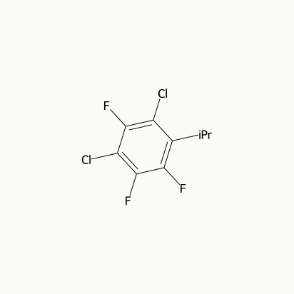 CC(C)c1c(F)c(F)c(Cl)c(F)c1Cl